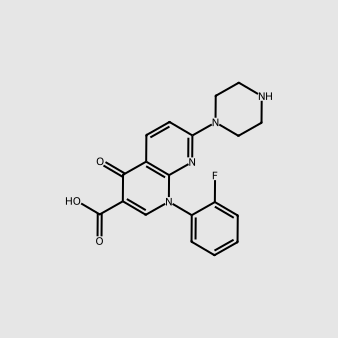 O=C(O)c1cn(-c2ccccc2F)c2nc(N3CCNCC3)ccc2c1=O